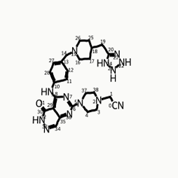 N#CCN1CCN(c2nc(Nc3ccc(CN4CCC(CC5=NNNN5)CC4)cc3)c3c(=O)[nH]ncc3n2)CC1